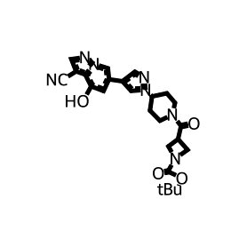 CC(C)(C)OC(=O)N1CC(C(=O)N2CCC(n3cc(-c4cc(O)c5c(C#N)cnn5c4)cn3)CC2)C1